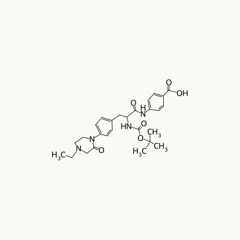 CCN1CCN(c2ccc(CC(NC(=O)OC(C)(C)C)C(=O)Nc3ccc(C(=O)O)cc3)cc2)C(=O)C1